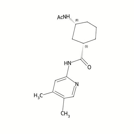 CC(=O)N[C@@H]1CCC[C@H](C(=O)Nc2cc(C)c(C)cn2)C1